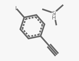 C#Cc1ccc(I)cc1.C[SiH](C)C